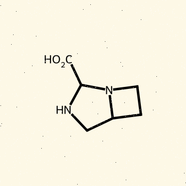 O=C(O)C1NCC2CCN21